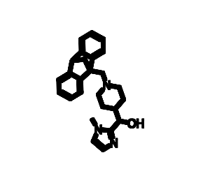 Cn1ccnc1C(O)C1CCN(CC23CC(c4ccccc42)c2ccccc23)CC1